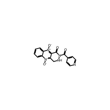 O=C(c1ccncc1)N1NCc2c([n+]([O-])c3ccccc3[n+]2[O-])C1=O